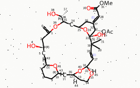 C=C1C[C@H](O)C[C@@H]2CCC[C@H](C[C@@H]3CCO[C@H](/C=C/C(C)(C)[C@]4(O)OC(C/C(=C\C(=O)OC)[C@@H]4OC(C)=O)CC([C@@H](C)O)O1)O3)O2